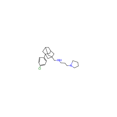 Clc1ccc(C23CC4CC(CC(CNCCCN5CCCC5)(C4)C2)C3)cc1